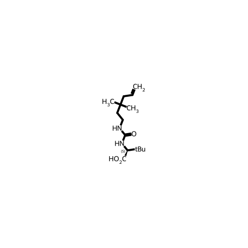 C=CCC(C)(C)CCNC(=O)N[C@H](C(=O)O)C(C)(C)C